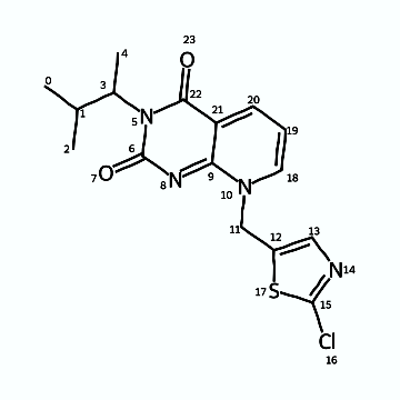 CC(C)C(C)n1c(=O)nc2n(Cc3cnc(Cl)s3)cccc-2c1=O